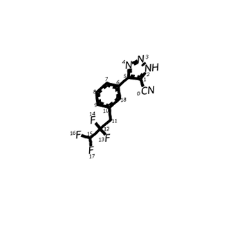 N#Cc1[nH]nnc1-c1cccc(CC(F)(F)C(F)F)c1